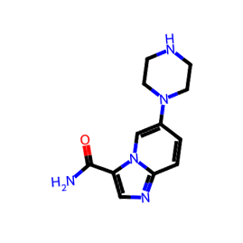 NC(=O)c1cnc2ccc(N3CCNCC3)cn12